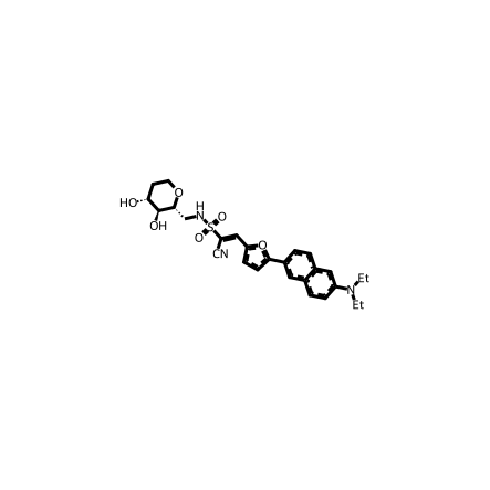 CCN(CC)c1ccc2cc(-c3ccc(/C=C(\C#N)S(=O)(=O)NC[C@H]4OCC[C@@H](O)[C@@H]4O)o3)ccc2c1